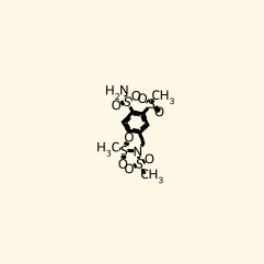 CS(=O)(=O)c1cc(CN(S(C)(=O)=O)S(C)(=O)=O)ccc1S(N)(=O)=O